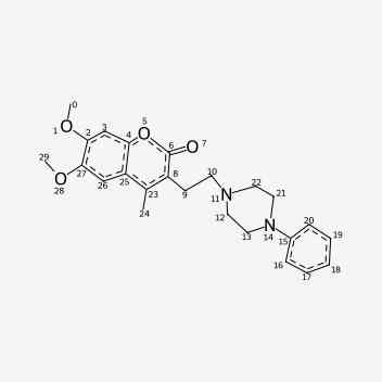 COc1cc2oc(=O)c(CCN3CCN(c4ccccc4)CC3)c(C)c2cc1OC